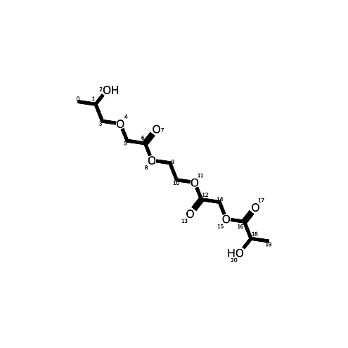 CC(O)COCC(=O)OCCOC(=O)COC(=O)C(C)O